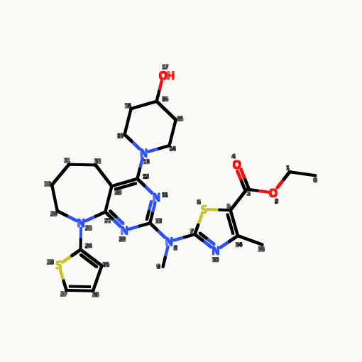 CCOC(=O)c1sc(N(C)c2nc(N3CCC(O)CC3)c3c(n2)N(c2cccs2)CCCC3)nc1C